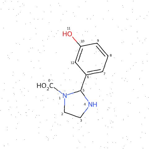 O=C(O)N1CCNC1c1cccc(O)c1